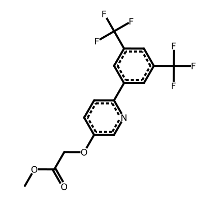 COC(=O)COc1ccc(-c2cc(C(F)(F)F)cc(C(F)(F)F)c2)nc1